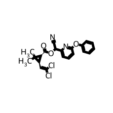 CC1(C)[C@H](C=C(Cl)Cl)[C@H]1C(=O)OC(C#N)c1cccc(Oc2ccccc2)n1